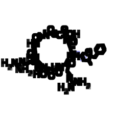 C=C1C(=O)NC(C)C(=O)NC(CCCN=C(N)N)C(=O)NC(C(=O)O)C(C)C(=O)NC(CCCN=C(N)N)C(=O)NC(/C=C/C(C)=C/C(C)C(Cc2ccccc2)OC)C(C)C(=O)NC(C(=O)O)CCC(=O)N1C